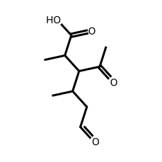 CC(=O)C(C(C)CC=O)C(C)C(=O)O